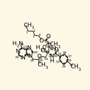 CCCCCOC(=O)C(C)(C)NP(=O)(COC(C)Cn1cnc2c(N)ncnc21)NC(=O)c1ccc(C)cc1